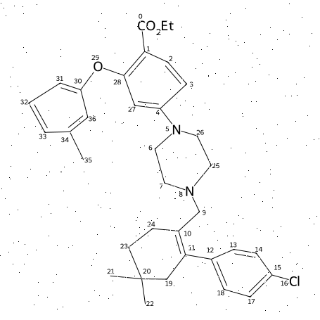 CCOC(=O)c1ccc(N2CCN(CC3=C(c4ccc(Cl)cc4)CC(C)(C)CC3)CC2)cc1Oc1cccc(C)c1